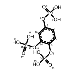 O=P(O)(O)Oc1ccc(OP(=O)(O)O)c(OP(=O)(O)O)c1